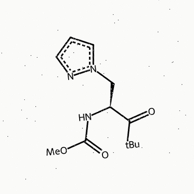 COC(=O)N[C@@H](Cn1cccn1)C(=O)C(C)(C)C